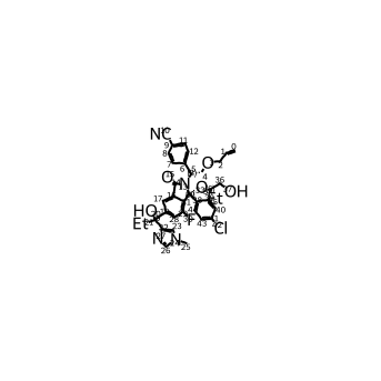 C=CCOC[C@@H](c1ccc(C#N)cc1)N1C(=O)c2cc(C(O)(CC)c3cn(C)cn3)cc(F)c2[C@]1(O[C@@H](CC)CO)c1ccc(Cl)cc1